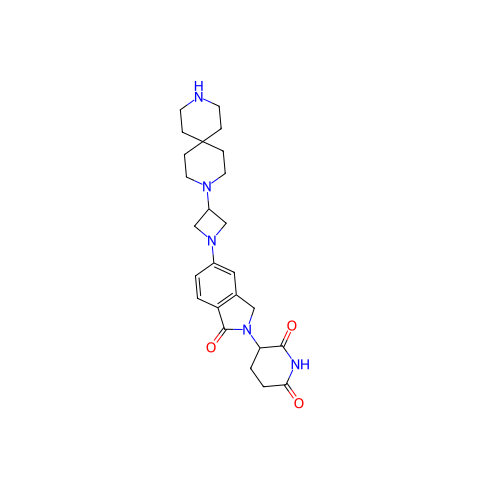 O=C1CCC(N2Cc3cc(N4CC(N5CCC6(CCNCC6)CC5)C4)ccc3C2=O)C(=O)N1